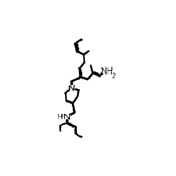 C/C=C\C(C)C/C=C(\C/C(C)=C/N)CN1CCC(CNC(=CCC)CC)CC1